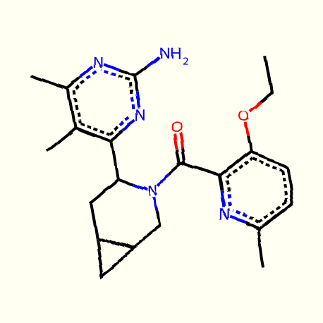 CCOc1ccc(C)nc1C(=O)N1CC2CC2CC1c1nc(N)nc(C)c1C